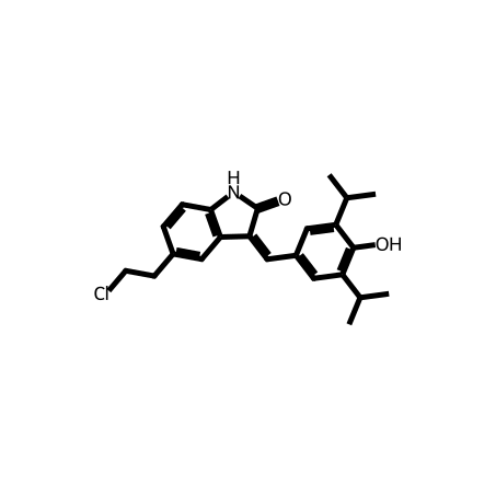 CC(C)c1cc(C=C2C(=O)Nc3ccc(CCCl)cc32)cc(C(C)C)c1O